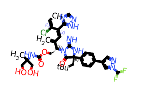 C=C(/C=C(\C(Cl)=C/C)c1ncn[nH]1)[C@@H](COC(=O)NC(C)(CO)CO)N1C(=N)N[C@](CC(C)(C)C)(c2ccc(-c3cnn(C(F)F)c3)cc2)C1=O